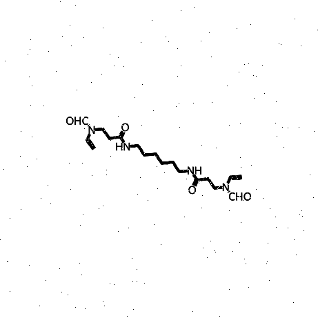 C=CN(C=O)CCC(=O)NCCCCCCNC(=O)CCN(C=C)C=O